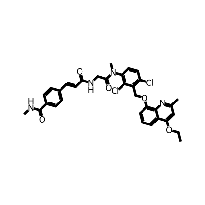 CCOc1cc(C)nc2c(OCc3c(Cl)ccc(N(C)C(=O)CNC(=O)C=Cc4ccc(C(=O)NC)cc4)c3Cl)cccc12